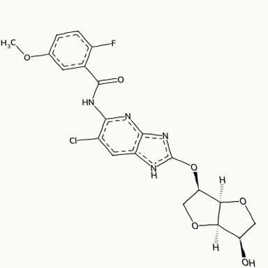 COc1ccc(F)c(C(=O)Nc2nc3nc(O[C@@H]4CO[C@H]5[C@@H]4OC[C@H]5O)[nH]c3cc2Cl)c1